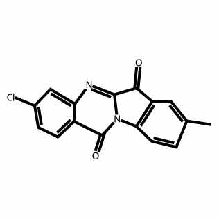 Cc1ccc2c(c1)C(=O)c1nc3cc(Cl)ccc3c(=O)n1-2